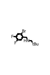 CC(C)(C)CNCc1cc(F)c(F)cc1Br